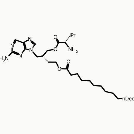 CCCCCCCCCCCCCCCCCCCC(=O)OCC[C@@H](COC(=O)[C@@H](N)C(C)C)Cn1cnc2cnc(N)nc21